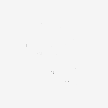 Fc1ccccc1-c1nc2cnc(C3CCCO3)cc2n1C1CCCCC1